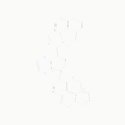 c1cc2ccc3ccc(-c4ccc(-c5ccc6ccc7cccc8ccc5c6c78)c5nccnc45)c4ccc(c1)c2c34